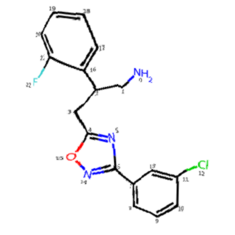 NCC(Cc1nc(-c2cccc(Cl)c2)no1)c1ccccc1F